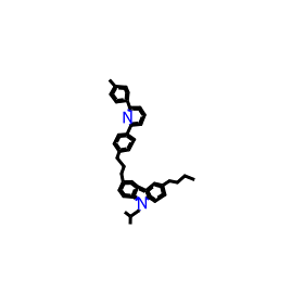 CCCCc1ccc2c(c1)c1cc(CCCc3ccc(-c4cccc(-c5ccc(C)cc5)n4)cc3)ccc1n2CC(C)C